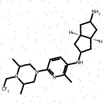 Cc1nc(N2CC(C)N(CC(F)(F)F)C(C)C2)ccc1NC1C[C@H]2CC(N)C[C@H]2C1